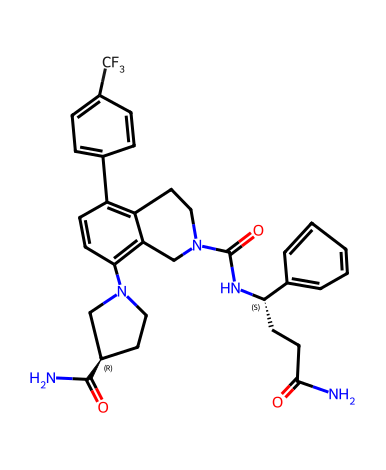 NC(=O)CC[C@H](NC(=O)N1CCc2c(-c3ccc(C(F)(F)F)cc3)ccc(N3CC[C@@H](C(N)=O)C3)c2C1)c1ccccc1